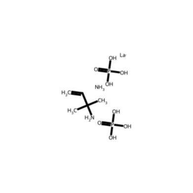 C=CC(C)(C)N.N.O=P(O)(O)O.O=P(O)(O)O.[La]